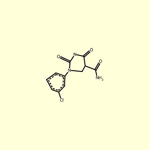 NC(=O)C1CN(c2cccc(Cl)c2)C(=O)[N]C1=O